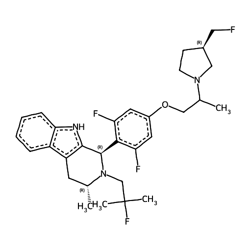 CC(COc1cc(F)c([C@@H]2c3[nH]c4ccccc4c3C[C@@H](C)N2CC(C)(C)F)c(F)c1)N1CC[C@@H](CF)C1